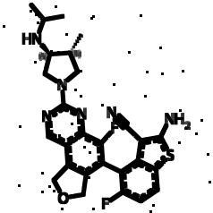 CC(C)N[C@@H]1CN(c2ncc3c4c(c(-c5c(F)ccc6sc(N)c(C#N)c56)c(F)c3n2)COC4)C[C@H]1C